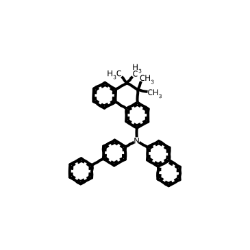 CC1(C)c2ccccc2-c2cc(N(c3ccc(-c4ccccc4)cc3)c3ccc4ccccc4c3)ccc2C1(C)C